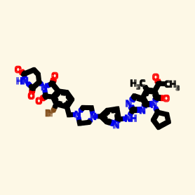 CC(=O)c1c(C)c2cnc(Nc3ccc(N4CCN(Cc5ccc6c(c5Br)C(=O)N(C5CCC(=O)NC5=O)C6=O)CC4)cn3)nc2n(C2CCCC2)c1=O